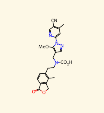 COc1c(CN(CCc2ccc3c(c2C)COC3=O)C(=O)O)cnn1-c1cc(C)c(C#N)cn1